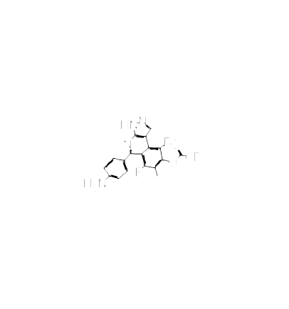 Cc1c(OC(=O)C(F)(F)F)c(F)c2c(c(-c3ccc(N)cc3)nc3[nH]ncc32)c1F